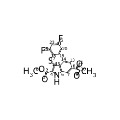 COC(=O)c1[nH]c2cc(S(C)(=O)=O)ccc2c1Sc1ccc(F)cc1F